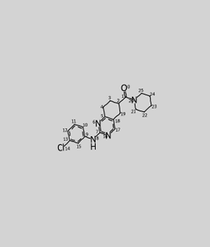 O=C(C1CCc2nc(Nc3cccc(Cl)c3)ncc2C1)N1CCCCC1